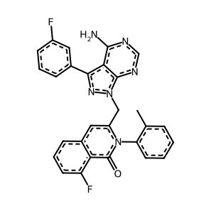 Cc1ccccc1-n1c(Cn2nc(-c3cccc(F)c3)c3c(N)ncnc32)cc2cccc(F)c2c1=O